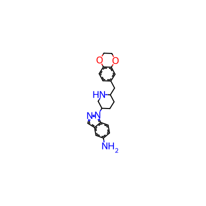 Nc1ccc2c(cnn2C2CCC(Cc3ccc4c(c3)OCCO4)NC2)c1